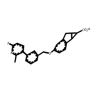 Cc1nc(F)ccc1-c1cccc(COc2ccc3c(c2)CC2C(C(=O)O)C32)c1